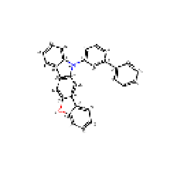 c1ccc(-c2cccc(-n3c4ccccc4c4cc5oc6ccccc6c5cc43)c2)cc1